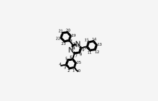 Cc1cc(C)cc(-c2cc(-c3ccccc3)nc(-c3ccccc3)n2)c1